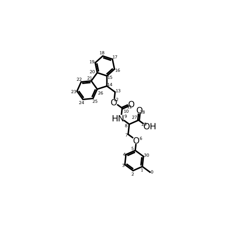 Cc1cccc(OCC(NC(=O)OCC2c3ccccc3-c3ccccc32)C(=O)O)c1